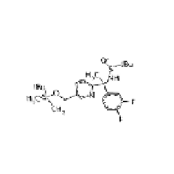 CC(N[S+]([O-])C(C)(C)C)(c1ccc(F)c(F)c1)c1ccc(CO[Si](C)(C)C(C)(C)C)cn1